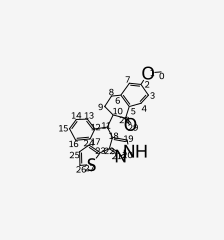 COc1ccc2c(c1)CCC(C(c1ccccc1)c1c[nH]nc1-c1cccs1)C2=O